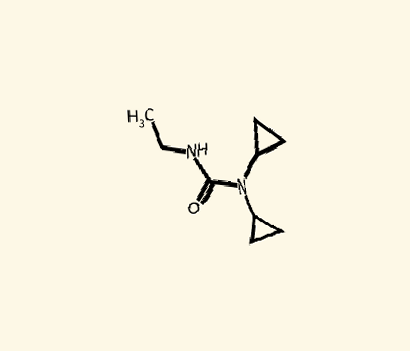 CCNC(=O)N(C1CC1)C1CC1